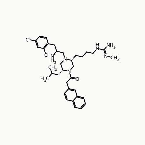 CN=C(N)NCCCC[C@H]1CN(C(=O)Cc2ccc3ccccc3c2)[C@H](CC(C)C)CN1C[C@@H](N)Cc1ccc(Cl)cc1Cl